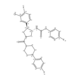 O=C(N[C@@H]1CN(C(=O)C2CCN(c3ccc(F)cn3)CC2)C[C@H]1c1ccc(F)c(Cl)c1)Oc1ccc(F)cc1